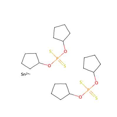 S=P([S-])(OC1CCCC1)OC1CCCC1.S=P([S-])(OC1CCCC1)OC1CCCC1.[Sn+2]